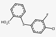 O=C(O)c1ccccc1Sc1ccc(Cl)c(F)c1